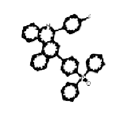 O=P(c1ccccc1)(c1ccccc1)c1ccc(-c2cc3c(-c4ccc(F)cc4)nc4ccccc4c3c3ccccc23)cc1